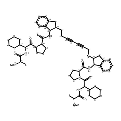 CN[C@H](C)C(=O)NC(C(=O)N1CCCC1C(=O)NC1c2ccccc2CC1OCC#CC#CCCC1Cc2ccccc2C1NC(=O)C1CCCN1C(=O)[C@H](NC(=O)[C@@H](C)NC)C1CCCCC1)C1CCCCC1